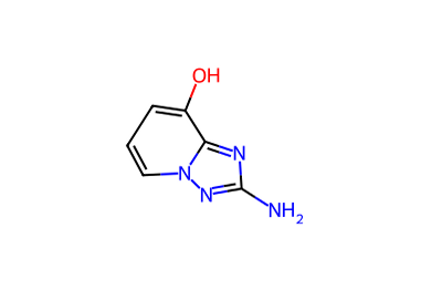 Nc1nc2c(O)cccn2n1